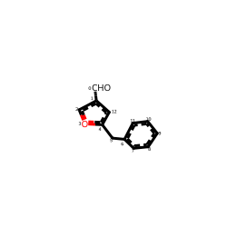 O=Cc1coc(Cc2ccccc2)c1